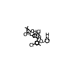 Cc1cc(Cl)cc(-c2ncnn3cc(CN4C(=O)C5C(C4=O)C5(C)C)cc23)c1OC[C@@H]1CCCNC1.Cl